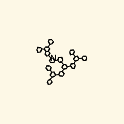 c1ccc(-c2cc(-c3ccccc3)cc(-c3cccc(-c4cc(-c5cccc(-c6cc(-c7ccccc7)cc(-c7ccccc7)c6)c5)cc(-c5cccc(-c6cccc(-c7ccc8c(-c9ccccc9)cc(-c9ccccc9)cc8c7)n6)c5)c4)c3)c2)cc1